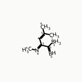 B=C(B)/C(C=C(C)C)=N/C